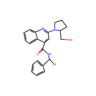 CCC(NC(=O)c1cc(N2CCCC2CO)nc2ccccc12)c1ccccc1